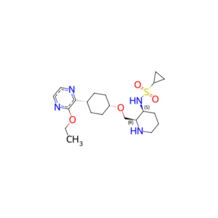 CCOc1nccnc1[C@H]1CC[C@@H](OC[C@@H]2NCCC[C@@H]2NS(=O)(=O)C2CC2)CC1